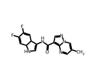 Cc1cnc2c(C(=O)NC3=CNC4C=C(F)C(F)=CC34)cnn2c1